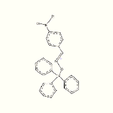 CCN(CC)c1ccc(/C=N/O[Si](c2ccccc2)(c2ccccc2)c2ccccc2)cc1